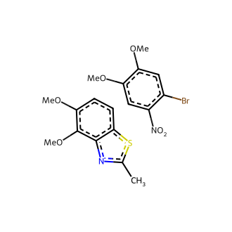 COc1cc(Br)c([N+](=O)[O-])cc1OC.COc1ccc2sc(C)nc2c1OC